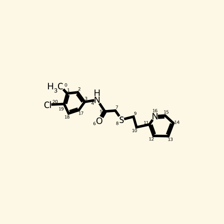 Cc1cc(NC(=O)CSCCc2ccccn2)ccc1Cl